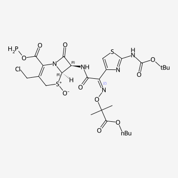 CCCCOC(=O)C(C)(C)O/N=C(\C(=O)N[C@@H]1C(=O)N2C(C(=O)OP)=C(CCl)C[S+]([O-])[C@H]12)c1csc(NC(=O)OC(C)(C)C)n1